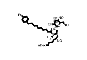 CCCCCCCCCCCCCC[C@H](C[C@H](CO[C@H]1OC(CN=O)[C@H](N=O)[C@H](N=O)C1N=O)N(N)C(=O)CCCCCCCCCc1ccc(CC)cc1)N=O